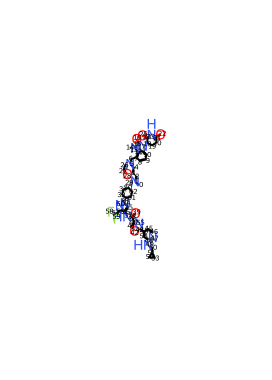 CN(C[C@@H]1CN(Cc2cccc3c2n(C)c(=O)n3C2CCC(=O)NC2=O)CCO1)C[C@H]1CC[C@H](n2cc(NC(=O)c3coc(-c4ccnc(NCC5CC5)c4)n3)c(C(F)F)n2)CC1